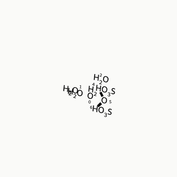 O.O.O.O.O=S(=O)(O)OS(=O)(=O)O